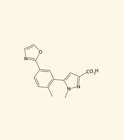 Cc1ccc(-c2ncco2)cc1-c1cc(C(=O)O)nn1C